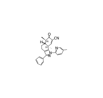 Cc1ccc(-n2nc(-c3ccccc3)c3c2[C@]2(C)C=C(C#N)C(=O)[C@H](C)[C@H]2CC3)nc1